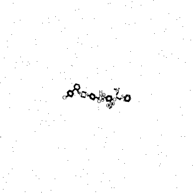 CCS(=O)(=O)c1cc(S(=O)(=O)NC(=O)c2ccc(N3CCN(CC4=C(c5ccc(Cl)cc5)CCCC4)CC3)cc2)ccc1O[C@H](CCN(C)C)CSc1ccccc1